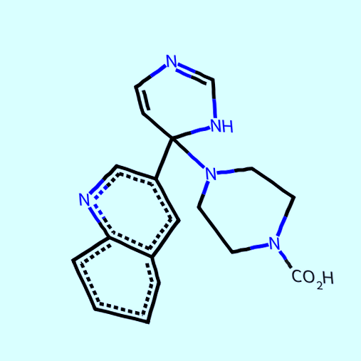 O=C(O)N1CCN(C2(c3cnc4ccccc4c3)C=CN=CN2)CC1